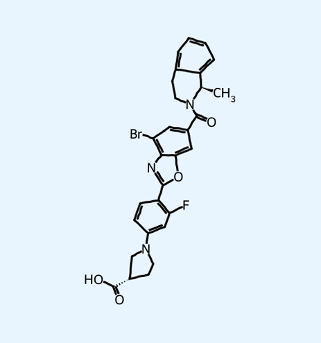 C[C@@H]1c2ccccc2CCN1C(=O)c1cc(Br)c2nc(-c3ccc(N4CC[C@H](C(=O)O)C4)cc3F)oc2c1